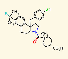 CC(F)(c1ccc2c(c1)CCC1N(C(=O)[C@]3(C)CC[C@@H](C(=O)O)CC3)CCC21Cc1ccc(Cl)cc1)C(F)(F)F